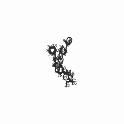 O=C(N1CCN(C2COC2)CC1)N(Cc1cn2ccc(-c3nnc(C(F)F)o3)cc2n1)c1ccccc1